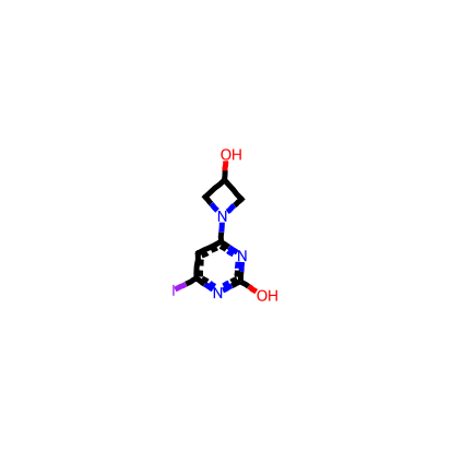 Oc1nc(I)cc(N2CC(O)C2)n1